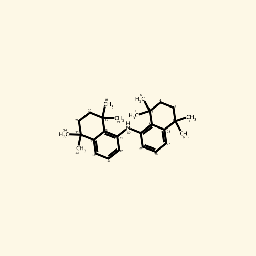 CC1(C)CCC(C)(C)c2c(Nc3cccc4c3C(C)(C)CCC4(C)C)cccc21